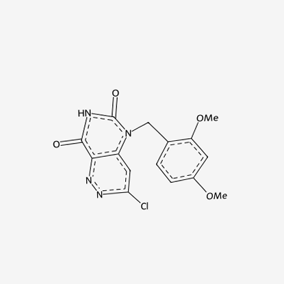 COc1ccc(Cn2c(=O)[nH]c(=O)c3nnc(Cl)cc32)c(OC)c1